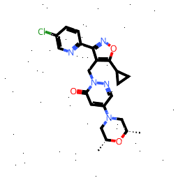 C[C@@H]1CN(c2cnn(Cc3c(-c4ccc(Cl)cn4)noc3C3CC3)c(=O)c2)C[C@H](C)O1